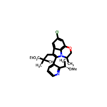 CCOC(=O)C(C)(C)Cc1c(-c2cccnc2[C@H](C)OC)n2c3c(cc(Cl)cc13)OCC2C